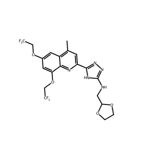 Cc1cc(-c2nnc(NCC3OCCO3)[nH]2)nc2c(OCC(F)(F)F)cc(OCC(F)(F)F)cc12